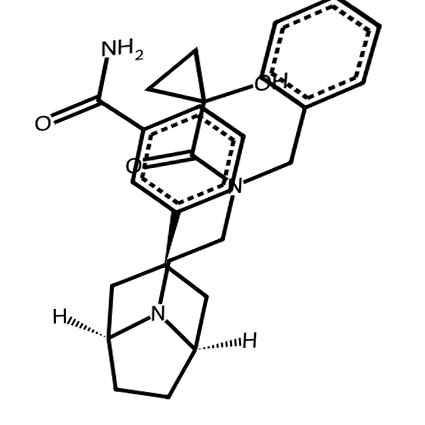 NC(=O)c1cccc([C@H]2C[C@H]3CC[C@@H](C2)N3CCN(Cc2ccccc2)C(=O)C2(O)CC2)c1